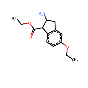 CCOC(=O)C1c2ccc(OCC)cc2CC1N